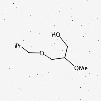 COC(CO)COCC(C)C